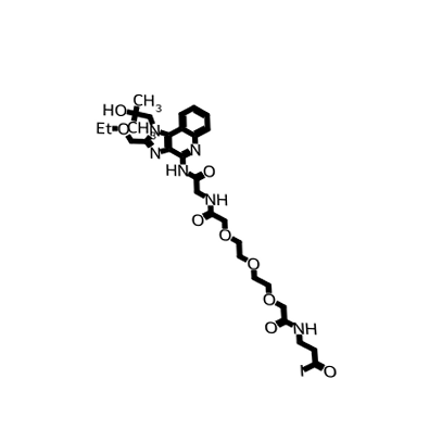 CCOCc1nc2c(NC(=O)CNC(=O)COCCOCCOCC(=O)NCCC(=O)I)nc3ccccc3c2n1CC(C)(C)O